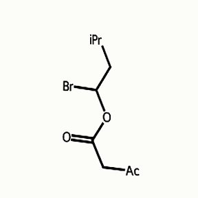 CC(=O)CC(=O)OC(Br)CC(C)C